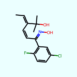 C\C=C(/C=C\C(=N\O)c1cc(Cl)ccc1F)C(C)(C)O